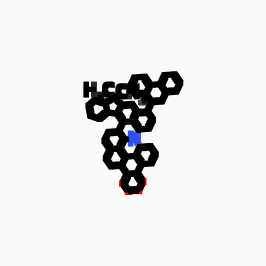 CC1(C)c2ccccc2-c2c(-c3ccccc3N(c3ccc(-c4cc5ccccc5c5ccccc45)cc3)c3cccc(-c4ccccc4)c3-c3ccccc3-c3ccccc3)cccc21